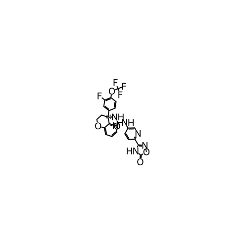 O=C(Nc1ccc(-c2noc(=O)[nH]2)nc1)N[C@]1(c2ccc(OC(F)(F)F)c(F)c2)CCOc2cccnc21